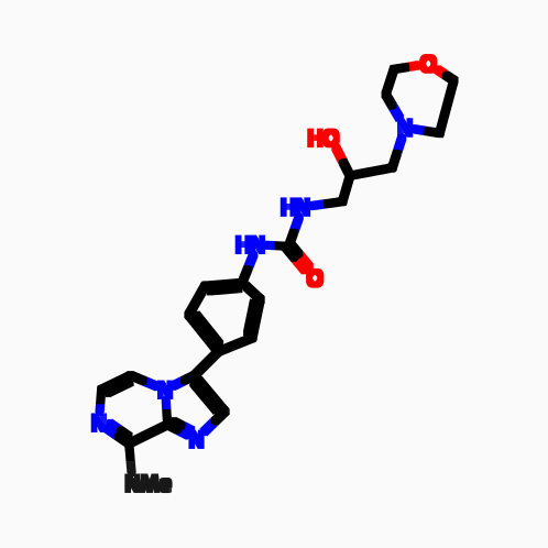 CNc1nccn2c(-c3ccc(NC(=O)NCC(O)CN4CCOCC4)cc3)cnc12